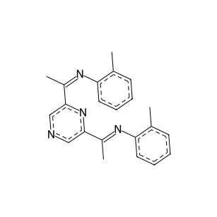 CC(=Nc1ccccc1C)c1cncc(C(C)=Nc2ccccc2C)n1